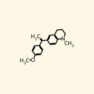 C=C(c1ccc(OC)cc1)c1ccc2c(c1)CCCN2C